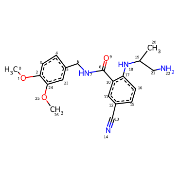 COc1ccc(CNC(=O)c2cc(C#N)ccc2NC(C)CN)cc1OC